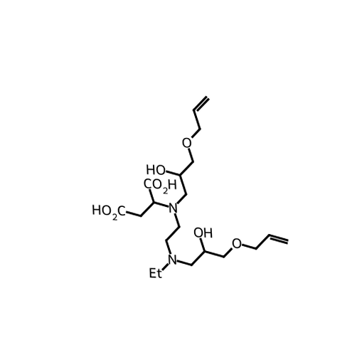 C=CCOCC(O)CN(CC)CCN(CC(O)COCC=C)C(CC(=O)O)C(=O)O